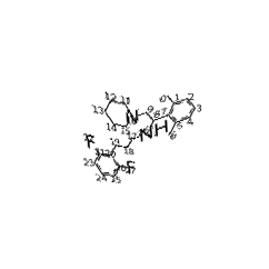 Cc1cccc(C)c1C(CN1CCCCC1)NCCCc1c(F)cccc1F